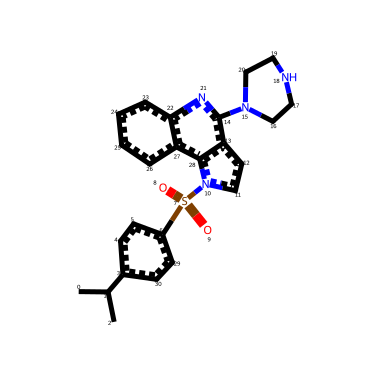 CC(C)c1ccc(S(=O)(=O)n2ccc3c(N4CCNCC4)nc4ccccc4c32)cc1